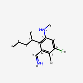 CCCC(C)c1c(NC)cc(F)c(C)c1C=N